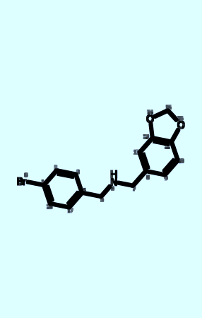 Brc1ccc(CNCc2ccc3c(c2)OCO3)cc1